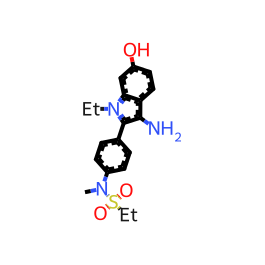 CCn1c(-c2ccc(N(C)S(=O)(=O)CC)cc2)c(N)c2ccc(O)cc21